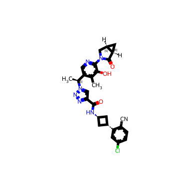 Cc1c([C@H](C)n2cc(C(=O)N[C@H]3C[C@@H](c4cc(Cl)ccc4C#N)C3)nn2)cnc(N2C[C@H]3C[C@H]3C2=O)c1O